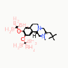 BC(B)(B)Oc1cc2c(cc1OC(B)(B)B)[C@H]1CN(C)[C@H](CC(C)(C)C)CN1CC2